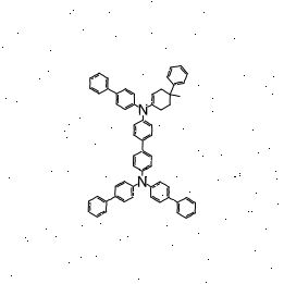 CC1(c2ccccc2)CC=C(N(c2ccc(-c3ccccc3)cc2)c2ccc(-c3ccc(N(c4ccc(-c5ccccc5)cc4)c4ccc(-c5ccccc5)cc4)cc3)cc2)CC1